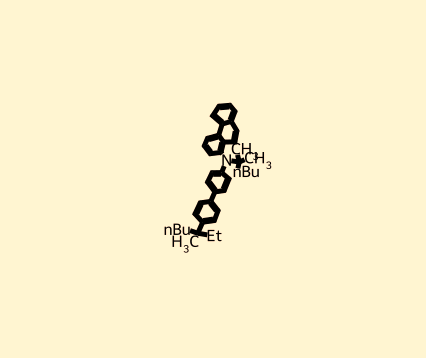 CCCCC(C)(CC)c1ccc(-c2ccc(N(c3cccc4c3ccc3ccccc34)C(C)(C)CCCC)cc2)cc1